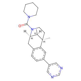 C[C@@H]1[C@H]2Cc3ccc(-c4cncnc4)cc3[C@]1(C)CCN2C(=O)N1CCCCC1